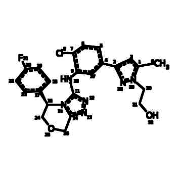 Cc1cc(-c2ccc(Cl)c(Nc3nnc4n3[C@H](c3ccc(F)cc3)COC4)c2)nn1CCO